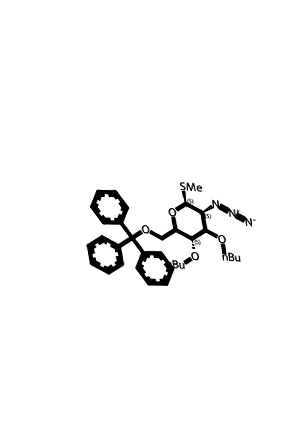 CCCCOC1[C@H](OCCCC)C(COC(c2ccccc2)(c2ccccc2)c2ccccc2)O[C@@H](SC)[C@H]1N=[N+]=[N-]